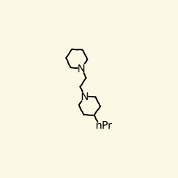 CCCC1CCN(CCN2CCCCC2)CC1